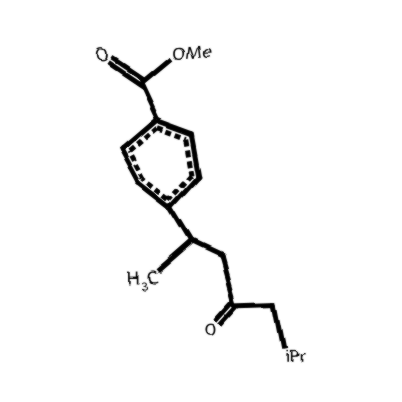 COC(=O)c1ccc(C(C)CC(=O)CC(C)C)cc1